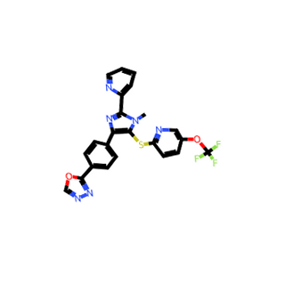 Cn1c(-c2ccccn2)nc(-c2ccc(-c3nnco3)cc2)c1Sc1ccc(OC(F)(F)F)cn1